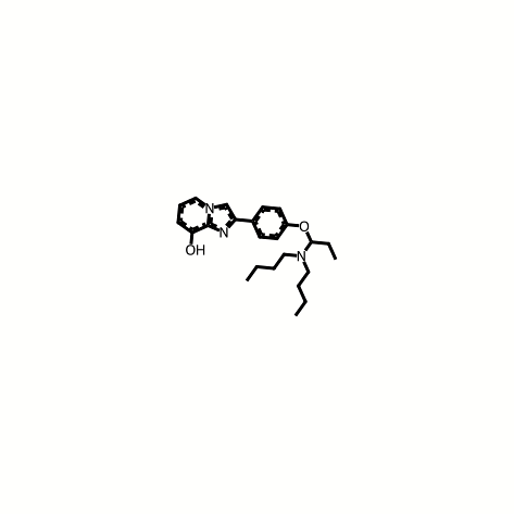 CCCCN(CCCC)C(CC)Oc1ccc(-c2cn3cccc(O)c3n2)cc1